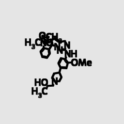 COc1cc(C2CCN(C[C@@H](C)O)CC2)ccc1Nc1ncc2ccc(-c3ccccc3N(C)S(C)(=O)=O)n2n1